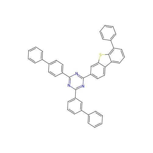 c1ccc(-c2ccc(-c3nc(-c4cccc(-c5ccccc5)c4)nc(-c4ccc5c(c4)sc4c(-c6ccccc6)cccc45)n3)cc2)cc1